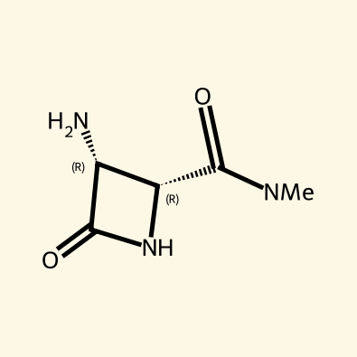 CNC(=O)[C@@H]1NC(=O)[C@@H]1N